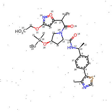 Cc1ncsc1-c1ccc([C@H](C)NC(=O)[C@@H]2C[C@@H](O[Si](C)(C)C(C)(C)C)CN2C(=O)C(c2cc(OCC(=O)O)no2)C(C)C)cc1